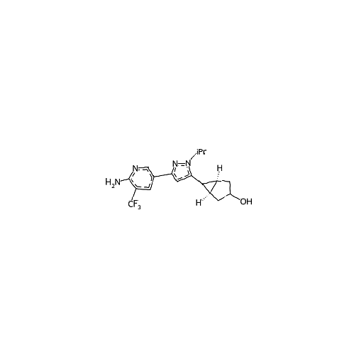 CC(C)n1nc(-c2cnc(N)c(C(F)(F)F)c2)cc1C1[C@H]2CC(O)C[C@@H]12